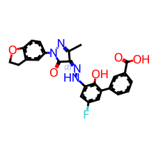 CC1=NN(c2ccc3c(c2)CCO3)C(=O)/C1=N\Nc1cc(F)cc(-c2cccc(C(=O)O)c2)c1O